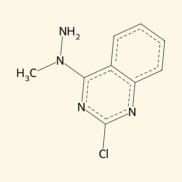 CN(N)c1nc(Cl)nc2ccccc12